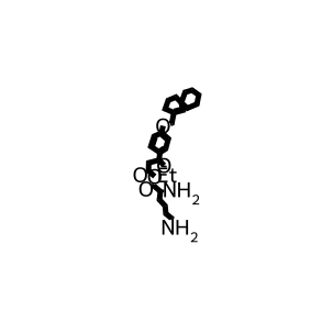 CCOC(CC(=O)OC(=O)[C@@H](N)CCCCN)c1ccc(OCC2=CC3(CCCCC3)CCC2)cc1